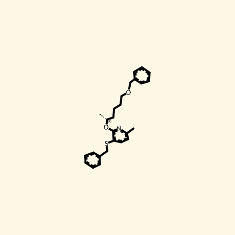 Cc1ccc(SCc2ccccc2)c(O[C@H](C)CCCCOCc2ccccc2)n1